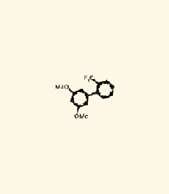 COc1cc(OC)cc(-c2[c]cccc2C(F)(F)F)c1